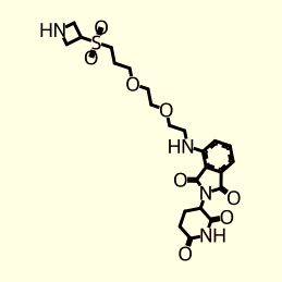 O=C1CCC(N2C(=O)c3cccc(NCCOCCOCCCS(=O)(=O)C4CNC4)c3C2=O)C(=O)N1